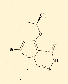 C[C@H](Oc1cc(Br)cc2cn[nH]c(=O)c12)C(F)(F)F